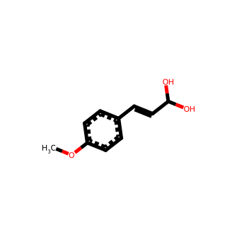 COc1ccc(/C=C/C(O)O)cc1